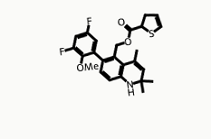 COc1c(F)cc(F)cc1-c1ccc2c(c1COC(=O)C1CC=CS1)C(C)=CC(C)(C)N2